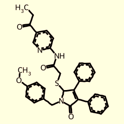 CCC(=O)c1ccc(NC(=O)CSC2C(c3ccccc3)=C(c3ccccc3)C(=O)N2Cc2ccc(OC)cc2)nc1